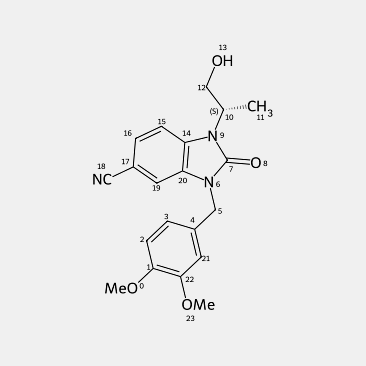 COc1ccc(Cn2c(=O)n([C@@H](C)CO)c3ccc(C#N)cc32)cc1OC